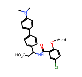 CCCCCCCOc1ccc(Cl)cc1C(=O)NC(CC(=O)O)c1ccc(-c2ccc(N(C)C)cc2)cc1